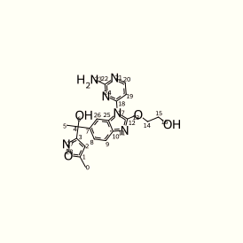 Cc1cc(C(C)(O)c2ccc3nc(OCCO)n(-c4ccnc(N)n4)c3c2)no1